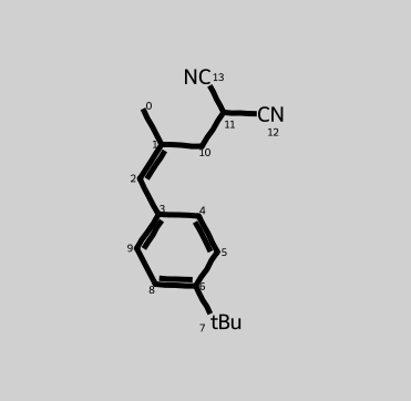 CC(=Cc1ccc(C(C)(C)C)cc1)CC(C#N)C#N